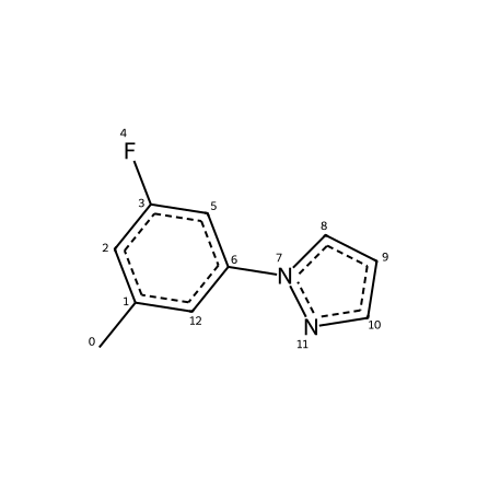 Cc1cc(F)cc(-n2cccn2)c1